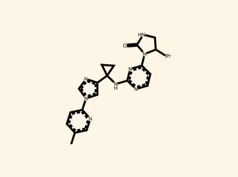 Cc1ccc(-n2cnc(C3(Nc4nccc(N5C(=O)NCC5C(C)C)n4)CC3)c2)nc1